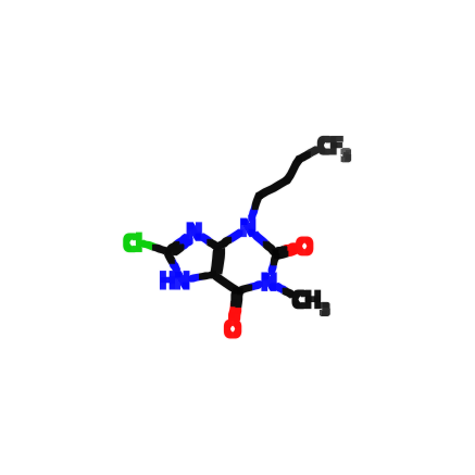 Cn1c(=O)c2[nH]c(Cl)nc2n(CCCC(F)(F)F)c1=O